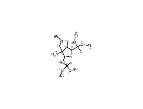 CCOC(C)(OCC)PC(C)C(N)(COC(C)C)C(C)PC(C)(OCC)OCC